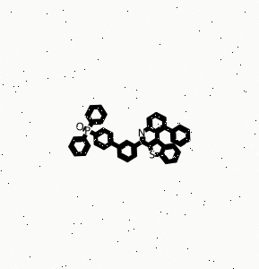 O=P(c1ccccc1)(c1ccccc1)c1ccc(-c2cccc(-c3nc4cccc(-c5ccccc5)c4c4c3sc3ccccc34)c2)cc1